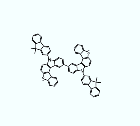 CC1(C)c2ccccc2-c2ccc(-n3c4ccc(-c5ccc6c(c5)c5c7c(ccc5n6-c5ccc6c(c5)C(C)(C)c5ccccc5-6)sc5ccccc57)cc4c4c5c(ccc43)sc3ccccc35)cc21